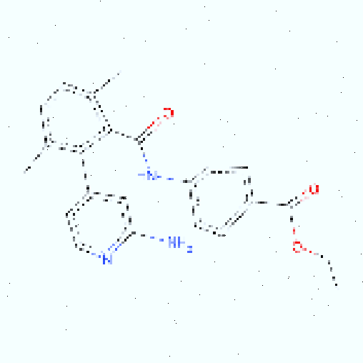 CCOC(=O)c1ccc(NC(=O)c2c(C)ccc(C)c2-c2ccnc(N)c2)cc1